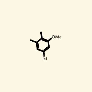 CCc1cc(C)c(C)c(OC)c1